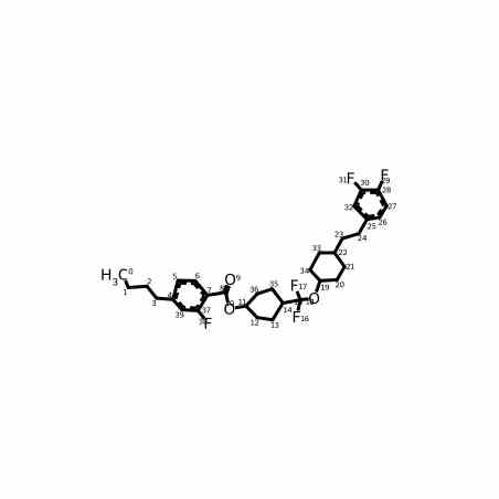 CCCCc1ccc(C(=O)OC2CCC(C(F)(F)OC3CCC(CCc4ccc(F)c(F)c4)CC3)CC2)c(F)c1